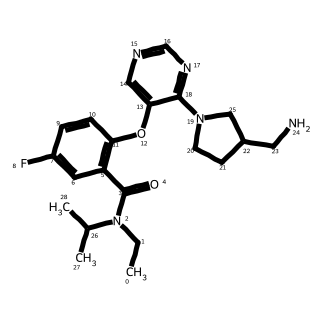 CCN(C(=O)c1cc(F)ccc1Oc1cncnc1N1CCC(CN)C1)C(C)C